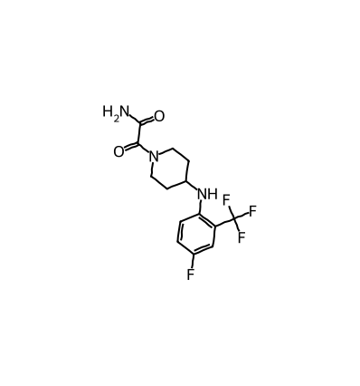 NC(=O)C(=O)N1CCC(Nc2ccc(F)cc2C(F)(F)F)CC1